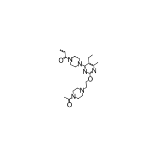 C=CC(=O)N1CCN(c2nc(OCCN3CCN(C(C)=O)CC3)nc(C)c2CC)CC1